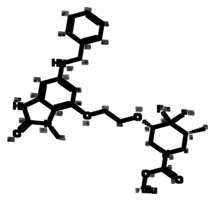 C[C@@H]1CN(C(=O)OC(C)(C)C)C[C@H](OCCOc2cc(NCc3ccccc3)cc3[nH]c(=O)n(C)c23)C1(F)F